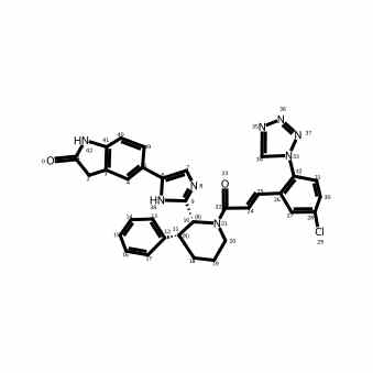 O=C1Cc2cc(-c3cnc([C@H]4[C@@H](c5ccccc5)CCCN4C(=O)C=Cc4cc(Cl)ccc4-n4cnnn4)[nH]3)ccc2N1